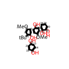 COc1ccc(O)c(C(C)(C)C)c1.COc1ccc(O)cc1.Oc1ccc(O)cc1.Oc1ccccc1O